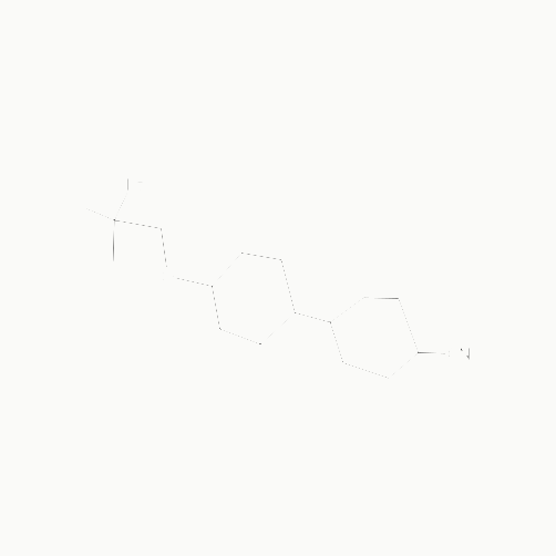 CCC(C)(C)COC1CCC(C2CCC(C#N)CC2)CC1